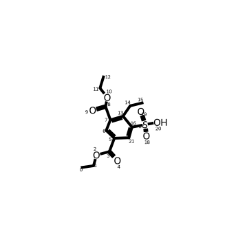 CCOC(=O)c1cc(C(=O)OCC)c(CC)c(S(=O)(=O)O)c1